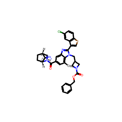 COc1cc(C(=O)N2C[C@H]3CC[C@@H]2[C@@H]3N)cc2nc(-c3csc4ccc(Cl)cc34)n(CC3CN(C(=O)OCc4ccccc4)C3)c12